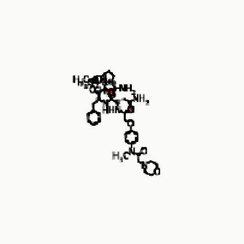 CC(=O)O[C@H](C(=O)[N+]1(C(C)(C)C)CCC[C@H]1C(N)=O)[C@H](Cc1ccccc1)NC(=O)[C@H](CC(N)=O)NC(=O)COc1ccc(N(C)C(=O)CN2CCOCC2)cc1